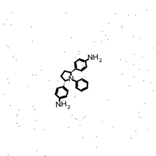 Nc1ccc([C@@H]2CC[C@@H](c3ccc(N)cc3)N2c2ccccc2)cc1